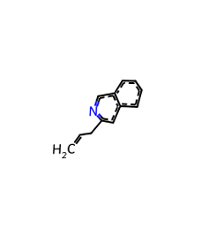 C=CCc1cc2ccccc2cn1